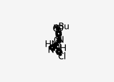 CCCCOC(=O)N1CCN(c2ncc(C(=O)Nc3ccncc3Nc3ccc(Cl)cc3)o2)CC1